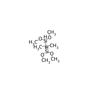 CO[SiH](OC)C(C)(C)[SiH](OC)OC